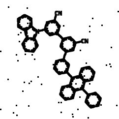 N#Cc1cc(-c2cccc(-c3c4ccccc4c(-c4ccccc4)c4ccccc34)c2)cc(-c2cc(C#N)cc(-n3c4ccccc4c4ccccc43)c2)c1